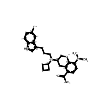 CN(C)c1ccc(C(N)=O)c2c1OCC(N(CCCc1c[nH]c3ccc(F)cc13)C1CCC1)C2